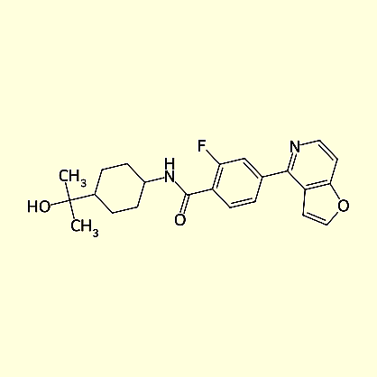 CC(C)(O)C1CCC(NC(=O)c2ccc(-c3nccc4occc34)cc2F)CC1